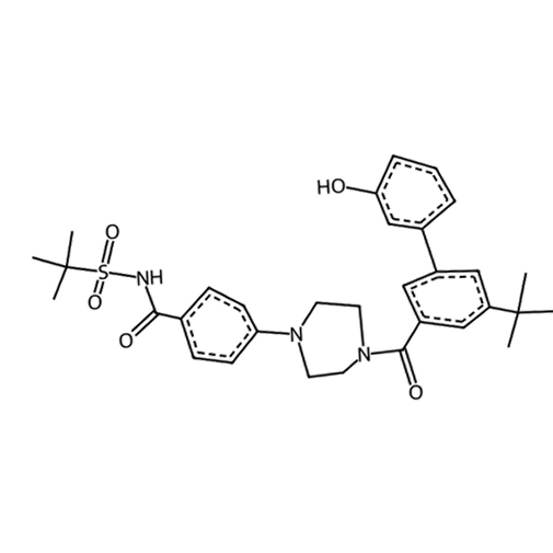 CC(C)(C)c1cc(C(=O)N2CCN(c3ccc(C(=O)NS(=O)(=O)C(C)(C)C)cc3)CC2)cc(-c2cccc(O)c2)c1